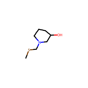 CSCN1CCCC(O)C1